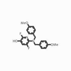 COc1ccc(CN(Cc2ccc(OC)cc2)c2nc(F)c(O)cc2F)cc1